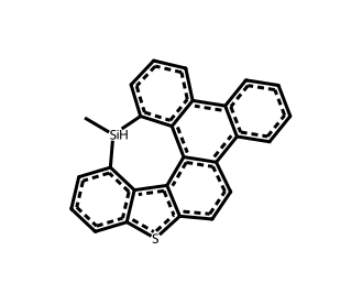 C[SiH]1c2cccc3sc4ccc5c6ccccc6c6cccc1c6c5c4c23